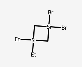 CC[Si]1(CC)C[Si](Br)(Br)C1